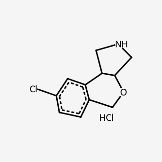 Cl.Clc1ccc2c(c1)C1CNCC1OC2